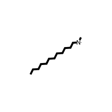 CCCCCCCCCCCC[N]C